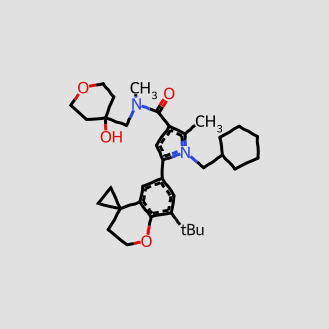 Cc1c(C(=O)N(C)CC2(O)CCOCC2)cc(-c2cc(C(C)(C)C)c3c(c2)C2(CCO3)CC2)n1CC1CCCCC1